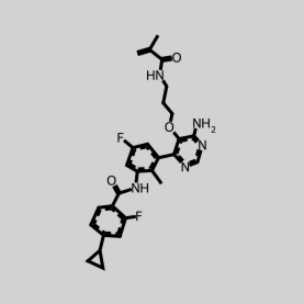 C=C(C)C(=O)NCCCOc1c(N)ncnc1-c1cc(F)cc(NC(=O)c2ccc(C3CC3)cc2F)c1C